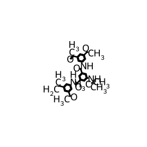 C=C(C)c1cc(NC(=O)c2cc(NC(C)(C)C)cc(C(=O)Nc3cc(C(C)=O)cc(C(C)=O)c3)c2)cc(C(C)=O)c1